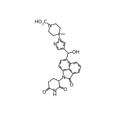 CC1(n2cc(C(O)c3ccc4c5c(cccc35)C(=O)N4C3CCC(=O)NC3=O)cn2)CCN(C(=O)O)CC1